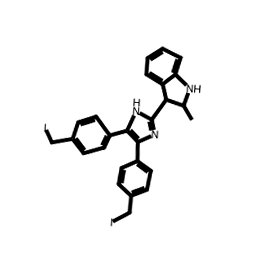 CC1Nc2ccccc2C1c1nc(-c2ccc(CI)cc2)c(-c2ccc(CI)cc2)[nH]1